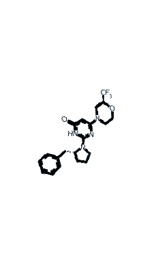 O=c1cc(N2CCO[C@H](C(F)(F)F)C2)nc(N2CCC[C@@H]2Cc2ccccc2)[nH]1